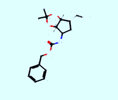 CC(=O)OC[C@H]1CC(NC(=O)OCc2ccccc2)[C@@H]2OC(C)(C)O[C@H]12